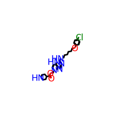 N#CN=C(NCCCCCCOc1ccc(Cl)cc1)Nc1cc[n+](COC(=O)C2CCNCC2)cc1